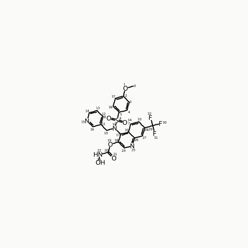 COc1ccc(S(=O)(=O)N(Cc2cccnc2)c2c(OC(=O)NO)cnc3cc(C(F)(F)F)ccc23)cc1